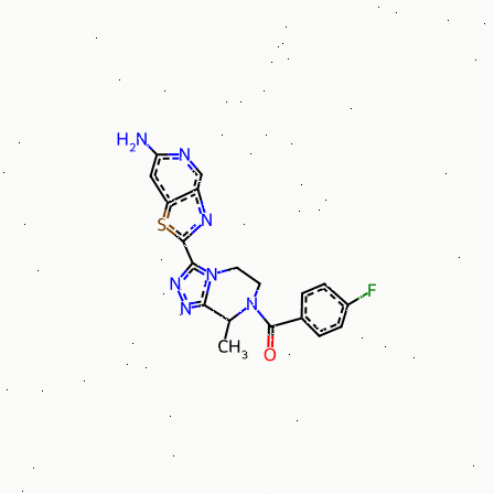 CC1c2nnc(-c3nc4cnc(N)cc4s3)n2CCN1C(=O)c1ccc(F)cc1